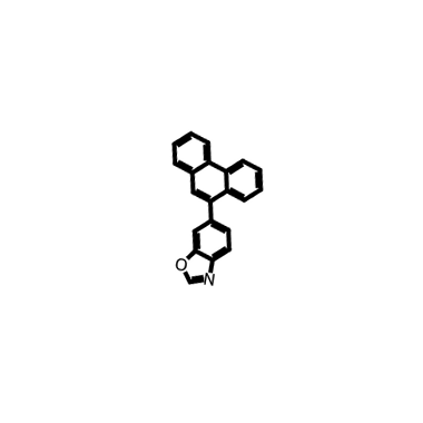 c1ccc2c(c1)cc(-c1ccc3ncoc3c1)c1ccccc12